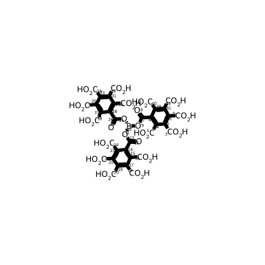 O=C(O)c1c(C(=O)O)c(C(=O)O)c(C(=O)OB(OC(=O)c2c(C(=O)O)c(C(=O)O)c(C(=O)O)c(C(=O)O)c2C(=O)O)OC(=O)c2c(C(=O)O)c(C(=O)O)c(C(=O)O)c(C(=O)O)c2C(=O)O)c(C(=O)O)c1C(=O)O